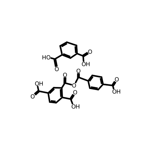 O=C(O)c1ccc(C(=O)OC(=O)c2cc(C(=O)O)ccc2C(=O)O)cc1.O=C(O)c1cccc(C(=O)O)c1